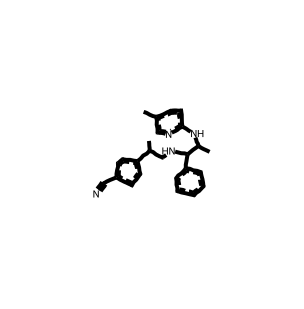 Cc1ccc(NC(C)C(NCC(C)c2ccc(C#N)cc2)c2ccccc2)nc1